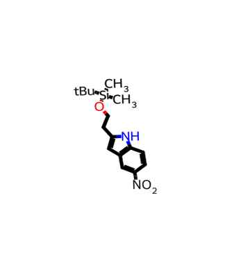 CC(C)(C)[Si](C)(C)OCCc1cc2cc([N+](=O)[O-])ccc2[nH]1